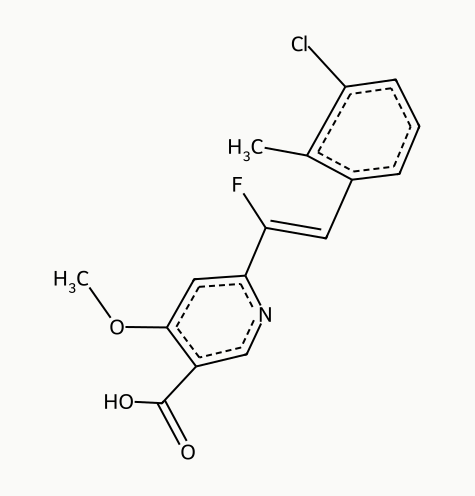 COc1cc(C(F)=Cc2cccc(Cl)c2C)ncc1C(=O)O